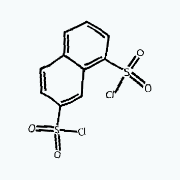 O=S(=O)(Cl)c1ccc2cccc(S(=O)(=O)Cl)c2c1